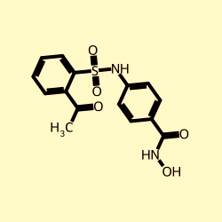 CC(=O)c1ccccc1S(=O)(=O)Nc1ccc(C(=O)NO)cc1